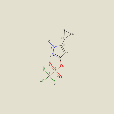 Cn1nc(OS(=O)(=O)C(F)(F)F)cc1C1CC1